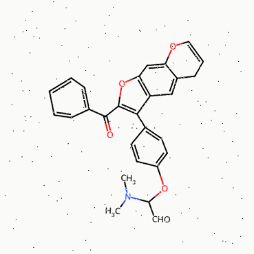 CN(C)C(C=O)Oc1ccc(-c2c(C(=O)c3ccccc3)oc3cc4c(cc23)CC=CO4)cc1